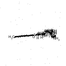 CCCCCCCCCCCCCCCCCCCCCC(=O)SCCNC(=O)CCNC(=O)[C@H](O)C(C)(C)COP(=O)(O)OP(=O)(O)OC[C@H]1O[C@@H](n2cnc3c(N)ncnc32)[C@H](O)[C@@H]1OP(=O)(O)O